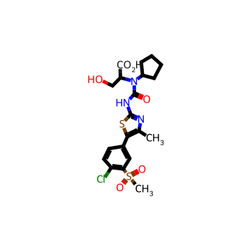 Cc1nc(NC(=O)N(C2CCCC2)C(CO)C(=O)O)sc1-c1ccc(Cl)c(S(C)(=O)=O)c1